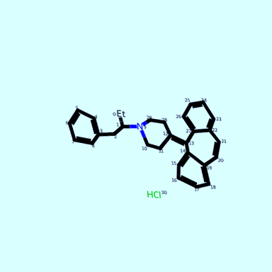 CCC(Cc1ccccc1)N1CCC(=C2c3ccccc3C=Cc3ccccc32)CC1.Cl